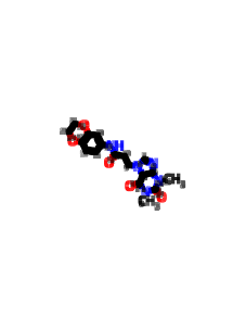 CN1C(=O)C2C(N=CN2CCC(=O)Nc2ccc3c(c2)OCCO3)N(C)C1=O